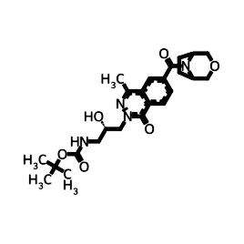 Cc1nn(C[C@@H](O)CNC(=O)OC(C)(C)C)c(=O)c2ccc(C(=O)N3C4CCC3COC4)cc12